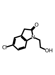 O=C1Cc2cc(Cl)ccc2N1CCO